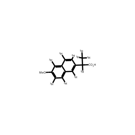 [2H]c1c(C([2H])(C(=O)O)C([2H])([2H])[2H])c([2H])c2c([2H])c([2H])c(OC)c([2H])c2c1[2H]